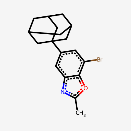 Cc1nc2cc(C34CC5CC(CC(C5)C3)C4)cc(Br)c2o1